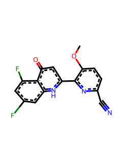 COc1ccc(C#N)nc1-c1cc(=O)c2c(F)cc(F)cc2[nH]1